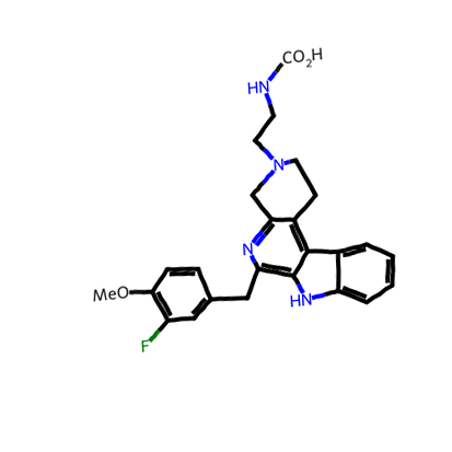 COc1ccc(Cc2nc3c(c4c2[nH]c2ccccc24)CCN(CCNC(=O)O)C3)cc1F